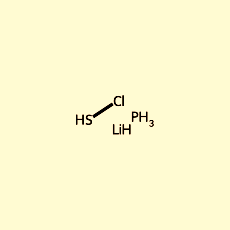 P.SCl.[LiH]